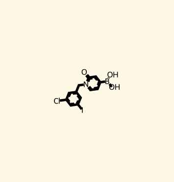 O=c1cc(B(O)O)ccn1Cc1cc(Cl)cc(I)c1